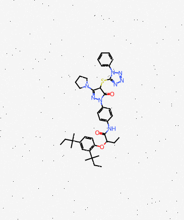 CCC(Oc1ccc(C(C)(C)CC)cc1C(C)(C)CC)C(=O)Nc1ccc(N2N=C(N3CCCC3)C(Sc3nnnn3-c3ccccc3)C2=O)cc1